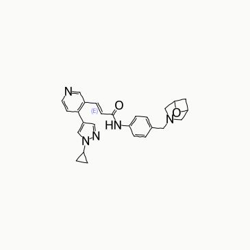 O=C(/C=C/c1cnccc1-c1cnn(C2CC2)c1)Nc1ccc(CN2CC3CC(C2)O3)cc1